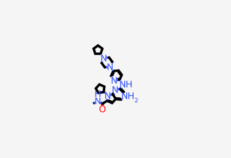 C=C(/N=C1\C(=C/N)C=C(C(=O)NC)N1C1CCCC1)Nc1ccc(N2CCN(C3CCCC3)CC2)cn1